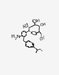 CCC(C)c1ccc(Cc2cc(C3OC(CO)[C@@H](O)[C@H](O)[C@H]3O)ccc2N)cc1